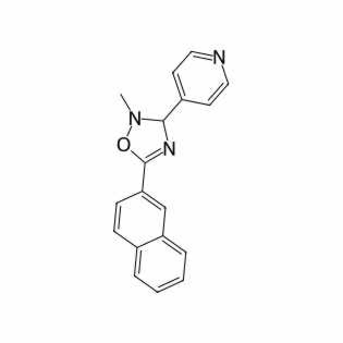 CN1OC(c2ccc3ccccc3c2)=NC1c1ccncc1